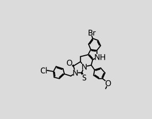 COc1ccc(C2c3[nH]c4ccc(Br)cc4c3CC3C(=O)N(Cc4ccc(Cl)cc4)C(=S)N32)cc1